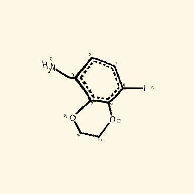 Nc1ccc(I)c2c1OCCO2